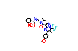 COc1ccc(-c2nc3c(C(=O)N(CCN(C)C(CO)c4ccccc4OC)C(C)C)cnn3c(C(F)(F)F)c2C)cc1